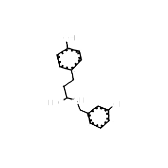 CC(CCc1ccc(O)cc1)NCc1cccc(Cl)c1